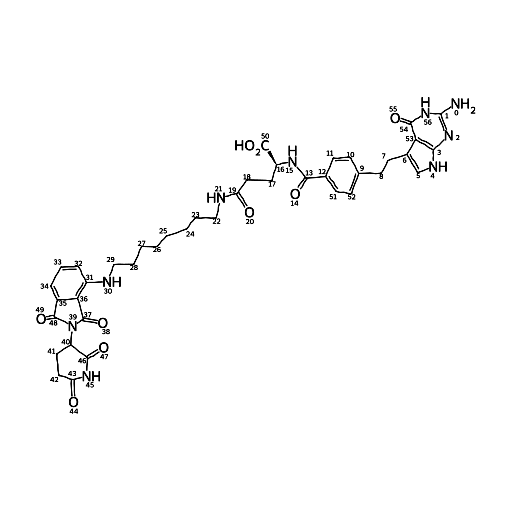 Nc1nc2[nH]cc(CCc3ccc(C(=O)N[C@@H](CCC(=O)NCCCCCCCCNc4cccc5c4C(=O)N(C4CCC(=O)NC4=O)C5=O)C(=O)O)cc3)c2c(=O)[nH]1